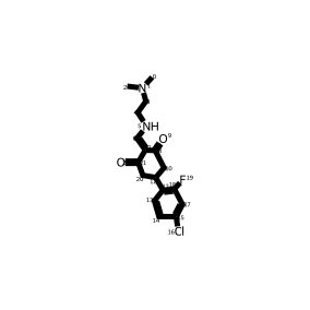 CN(C)CCNC=C1C(=O)CC(c2ccc(Cl)cc2F)CC1=O